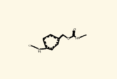 CNC(=O)OCc1ccc(NCl)cc1